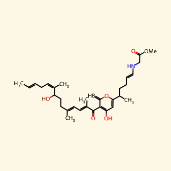 B=C1OC(C(C)CC/C=C/NCC(=O)OC)=CC(O)=C1C(=O)/C(C)=C/C=C(\C)CCC(O)/C(C)=C\C/C=C/C